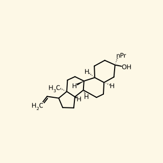 C=CC1CC[C@H]2[C@@H]3CC[C@@H]4C[C@@](O)(CCC)CC[C@@H]4[C@H]3CC[C@]12C